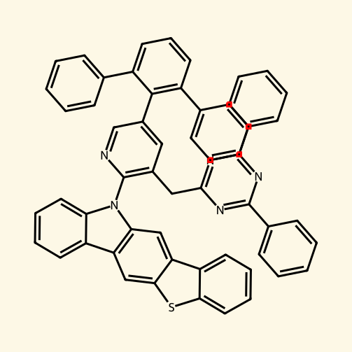 c1ccc(-c2nc(Cc3cc(-c4c(-c5ccccc5)cccc4-c4ccccc4)cnc3-n3c4ccccc4c4cc5sc6ccccc6c5cc43)nc(-c3ccccc3)n2)cc1